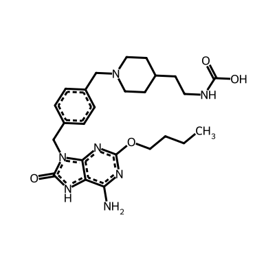 CCCCOc1nc(N)c2[nH]c(=O)n(Cc3ccc(CN4CCC(CCNC(=O)O)CC4)cc3)c2n1